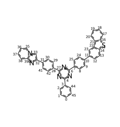 c1ccc(-c2nc(-c3ccc(-c4ccc5sc6ccccc6c5c4)cc3)nc(-c3ccc(-c4cn5ccccc5n4)cc3)n2)cc1